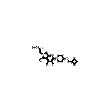 Cc1c(N2CCC(OCC3CCC3)CC2)nc2c(c1C)C(=O)N(CCO)C2